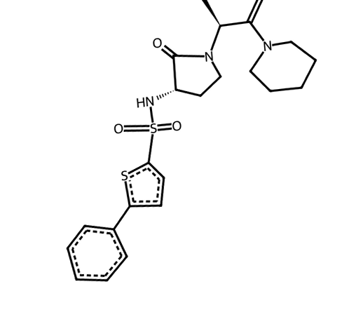 C[C@@H](C(=O)N1CCCCC1)N1CC[C@H](NS(=O)(=O)c2ccc(-c3ccccc3)s2)C1=O